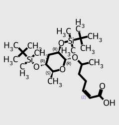 CC(CC/C=C\C(=O)O)O[C@@H]1O[C@@H](C)[C@H](O[Si](C)(C)C(C)(C)C)C[C@H]1O[Si](C)(C)C(C)(C)C